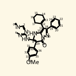 C=N/C=N\C(=N/C)Nc1[nH]c2c(C3=CCCCC3)c(-c3ccccc3)nn2c(=O)c1-c1ccc(OC)cc1